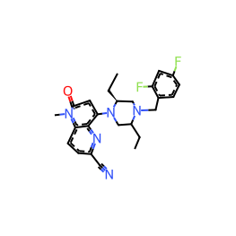 CCC1CN(c2cc(=O)n(C)c3ccc(C#N)nc23)[C@@H](CC)CN1Cc1ccc(F)cc1F